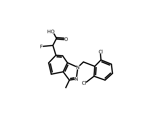 Cc1nn(Cc2c(Cl)cccc2Cl)c2cc(C(F)C(=O)O)ccc12